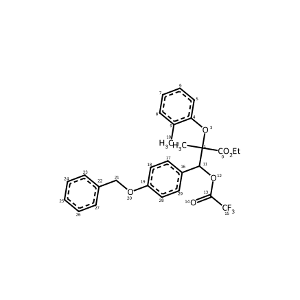 CCOC(=O)C(C)(Oc1ccccc1C)C(OC(=O)C(F)(F)F)c1ccc(OCc2ccccc2)cc1